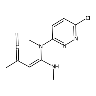 C=C=C(C)/C=C(/NC)N(C)c1ccc(Cl)nn1